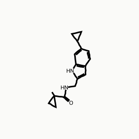 CC1(C(=O)NCc2cc3ccc(C4CC4)cc3[nH]2)CC1